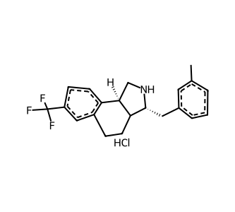 Cc1cccc(C[C@H]2NC[C@@H]3c4ccc(C(F)(F)F)cc4CCC32)c1.Cl